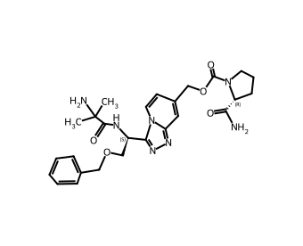 CC(C)(N)C(=O)N[C@H](COCc1ccccc1)c1nnc2cc(COC(=O)N3CCC[C@@H]3C(N)=O)ccn12